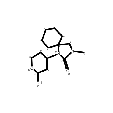 CN1CC2(CCCCC2)N(C2CCOC(O)C2)C1=O